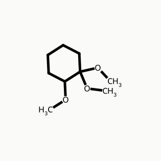 COC1CCCCC1(OC)OC